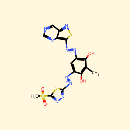 Cc1c(O)c(/N=N/c2nnc(S(C)(=O)=O)s2)cc(/N=N/c2snc3cncnc23)c1O